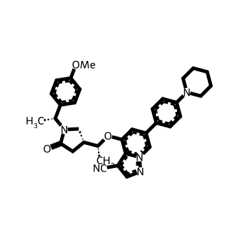 COc1ccc([C@@H](C)N2C[C@H]([C@@H](C)Oc3cc(-c4ccc(N5CCCCC5)cc4)cn4ncc(C#N)c34)CC2=O)cc1